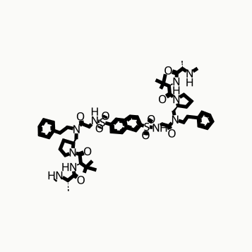 CN[C@@H](C)C(=O)N[C@H](C(=O)N1CCC[C@H]1CN(CCc1ccccc1)C(=O)CNS(=O)(=O)c1ccc2cc(S(=O)(=O)NCC(=O)N(CCc3ccccc3)C[C@@H]3CCCN3C(=O)[C@@H](NC(=O)[C@H](C)NC)C(C)(C)C)ccc2c1)C(C)(C)C